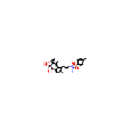 CC1=C(CCCNS(=O)(=O)c2ccc(C)cc2)C2=C(C)C3(CC3)[C@@](C)(O)C(=O)C2=C1